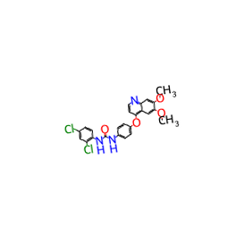 COc1cc2nccc(Oc3ccc(NC(=O)Nc4ccc(Cl)cc4Cl)cc3)c2cc1OC